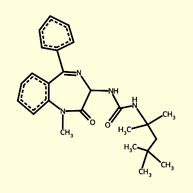 CN1C(=O)C(NC(=O)NC(C)(C)CC(C)(C)C)N=C(c2ccccc2)c2ccccc21